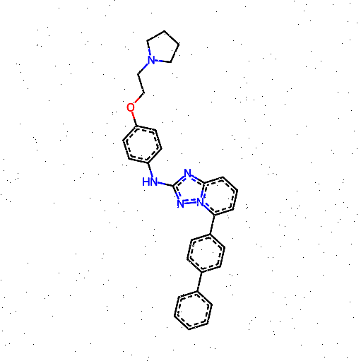 c1ccc(-c2ccc(-c3cccc4nc(Nc5ccc(OCCN6CCCC6)cc5)nn34)cc2)cc1